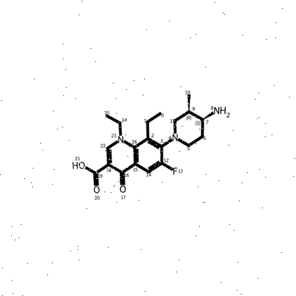 CCc1c(N2CC[C@H](N)[C@H](C)C2)c(F)cc2c(=O)c(C(=O)O)cn(CC)c12